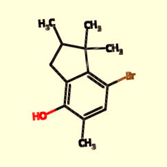 Cc1cc(Br)c2c(c1O)CC(C)C2(C)C